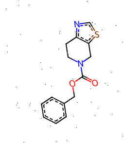 O=C(OCc1ccccc1)N1CCc2n[c]sc2C1